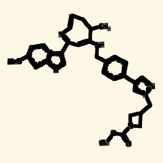 COc1ccn2c(C3=N/C=C/CC(C)/C(NCc4ccc(-c5cnn(CC6CN(C(=O)OC(C)(C)C)C6)c5)cc4)=C\3)cnc2c1